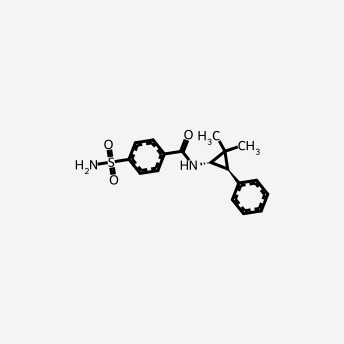 CC1(C)[C@@H](NC(=O)c2ccc(S(N)(=O)=O)cc2)[C@@H]1c1ccccc1